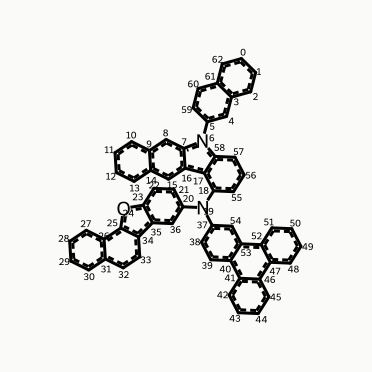 c1ccc2cc(-n3c4cc5ccccc5cc4c4c(N(c5ccc6oc7c8ccccc8ccc7c6c5)c5ccc6c7ccccc7c7ccccc7c6c5)cccc43)ccc2c1